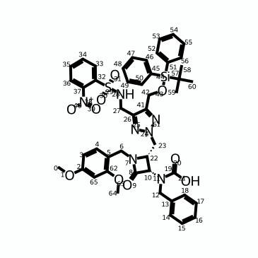 COc1ccc(CN2C(=O)[C@@H](N(Cc3ccccc3)C(=O)O)[C@H]2Cn2nc(CNS(=O)(=O)c3ccccc3[N+](=O)[O-])c(CO[Si](c3ccccc3)(c3ccccc3)C(C)(C)C)n2)c(OC)c1